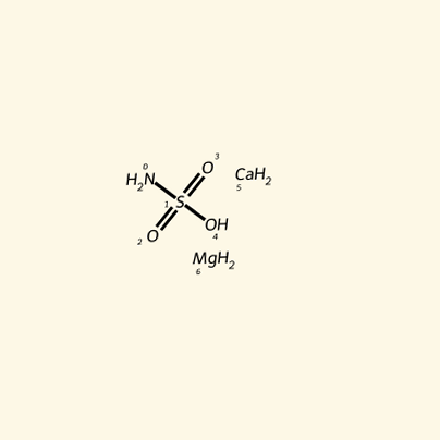 NS(=O)(=O)O.[CaH2].[MgH2]